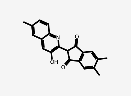 Cc1ccc2nc(C3C(=O)c4cc(C)c(C)cc4C3=O)c(O)cc2c1